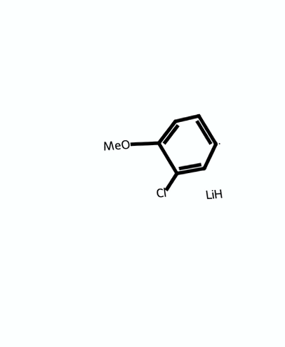 COc1cc[c]cc1Cl.[LiH]